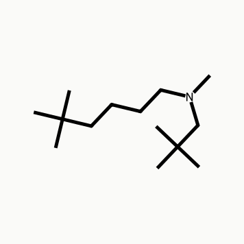 CN(CCCCC(C)(C)C)CC(C)(C)C